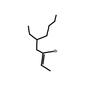 CC=C(Br)CC(CC)CCCC